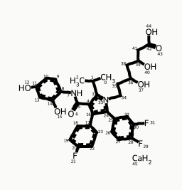 CC(C)c1c(C(=O)Nc2ccc(O)cc2O)c(-c2ccc(F)cc2)c(-c2ccc(F)c(F)c2)n1CCC(O)CC(O)CC(=O)O.[CaH2]